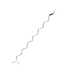 CCCCCCCCC=CCCCCCCCCCCCCN(C)C